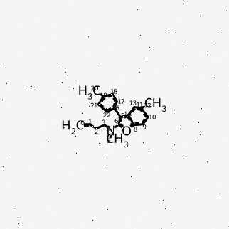 C=CCCN(C)c1oc2ccc(C)cc2c1-c1ccc(C)cc1